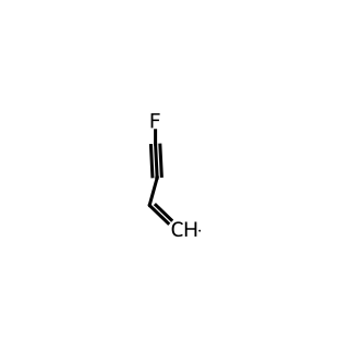 [CH]=CC#CF